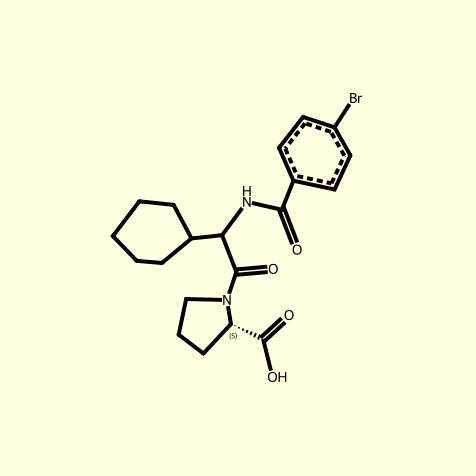 O=C(NC(C(=O)N1CCC[C@H]1C(=O)O)C1CCCCC1)c1ccc(Br)cc1